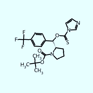 CC(C)(C)OC(=O)N1CCC[C@H]1C(OC(=S)n1ccnc1)c1ccc(C(F)(F)F)cc1